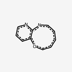 c1ccnc2ncccc2occ1